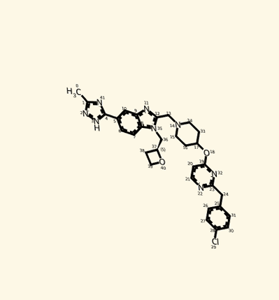 Cc1n[nH]c(-c2ccc3c(c2)nc(CN2CCC(Oc4ccnc(Cc5ccc(Cl)cc5)n4)CC2)n3C[C@@H]2CCO2)n1